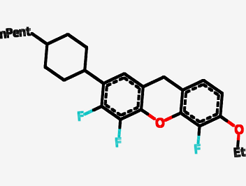 CCCCCC1CCC(c2cc3c(c(F)c2F)Oc2c(ccc(OCC)c2F)C3)CC1